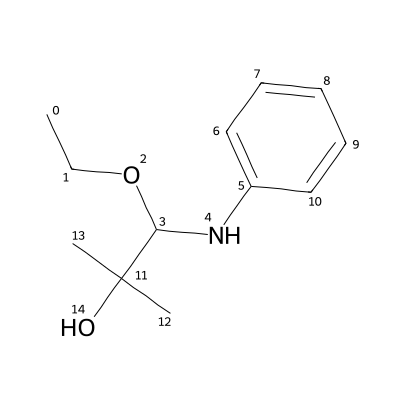 CCOC(Nc1ccccc1)C(C)(C)O